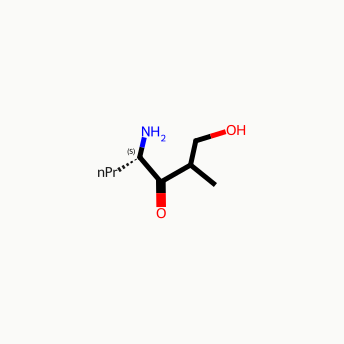 CCC[C@H](N)C(=O)C(C)CO